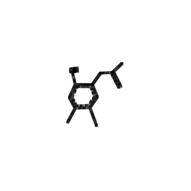 C=C(C)Cc1cc(C)c(C)cc1O